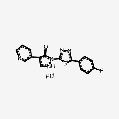 Cl.O=c1c(-c2cccnc2)c[nH]n1-c1nnc(-c2ccc(F)cc2)s1